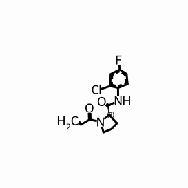 C=CC(=O)N1CCC[C@@H]1C(=O)Nc1ccc(F)cc1Cl